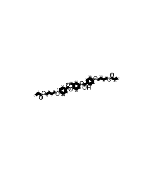 C=CC(=O)OCCCCOc1ccc(C(=O)Oc2ccc(OC(O)c3ccc(OCCCCOC(=O)C=C)cc3)cc2C)cc1